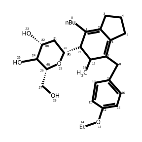 CCCCC1=C2CCCC2=C(Cc2ccc(OCC)cc2)C(C)C1[C@H]1C[C@@H](O)C(O)[C@@H](CO)O1